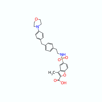 Cc1c(C(=O)O)oc2ccc(S(=O)(=O)NCCc3ccc(Cc4ccc(N5CCOCC5)cc4)cc3)cc12